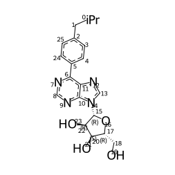 CC(C)Cc1ccc(-c2ncnc3c2ncn3[C@@H]2O[C@H](CO)[C@@H](O)[C@H]2O)cc1